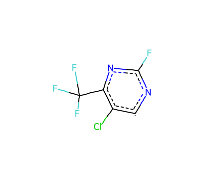 Fc1n[c]c(Cl)c(C(F)(F)F)n1